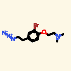 CN(C)CCOc1ccc(CCN=[N+]=[N-])cc1Br